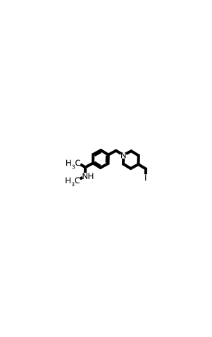 CNC(C)c1ccc(CN2CCC(CI)CC2)cc1